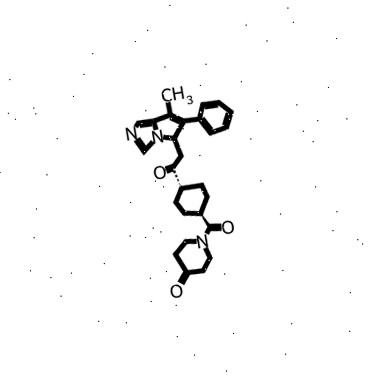 CC1=C(c2ccccc2)C(CC(=O)[C@H]2CC[C@H](C(=O)N3CCC(=O)CC3)CC2)n2cncc21